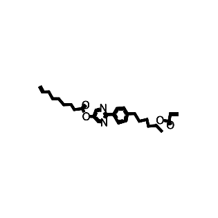 C=CCCCCCCC(=O)Oc1cnc(-c2ccc(CCCCC(C)OC(=O)C=C)cc2)nc1